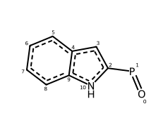 O=Pc1cc2ccccc2[nH]1